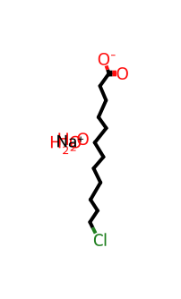 O.O.O=C([O-])CCCCCCCCCCCCl.[Na+]